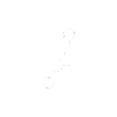 CC(C)[C@@H](OCc1ccccc1)C(C)(O)COCc1ccccc1